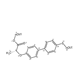 CCCCCCCCOC(=O)[C@@H](C)Oc1ccc(-c2ccc(SCCCCCCCC)cc2)cc1